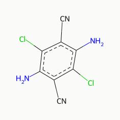 N#Cc1c(N)c(Cl)c(C#N)c(N)c1Cl